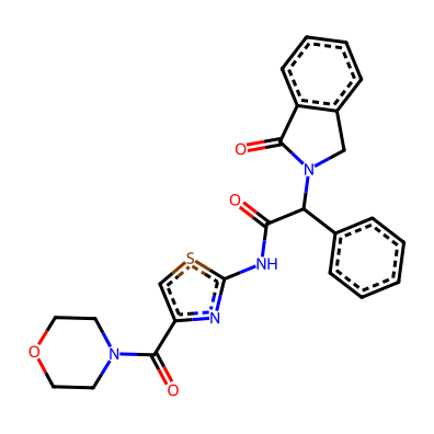 O=C(Nc1nc(C(=O)N2CCOCC2)cs1)C(c1ccccc1)N1Cc2ccccc2C1=O